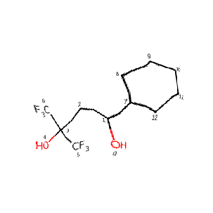 OC(CC(O)(C(F)(F)F)C(F)(F)F)C1CCCCC1